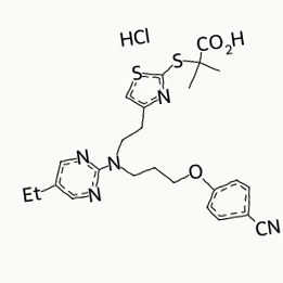 CCc1cnc(N(CCCOc2ccc(C#N)cc2)CCc2csc(SC(C)(C)C(=O)O)n2)nc1.Cl